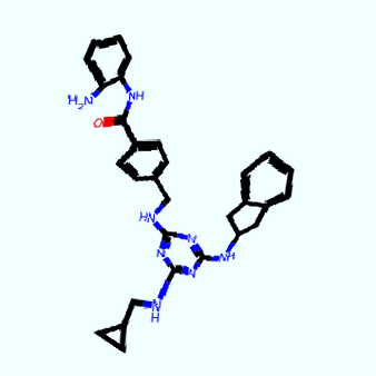 Nc1ccccc1NC(=O)c1ccc(CNc2nc(NCC3CC3)nc(NC3Cc4ccccc4C3)n2)cc1